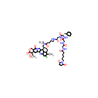 CC[C@@]1(O)C(=O)OCc2c1cc1n(c2=O)Cc2c-1nc1cc(F)c(C)c3c1c2C(/C=[N+](/C)C(=O)CCCCNC(=O)CNC(=O)[C@H](Cc1ccccc1)NC(=O)CNC(=O)CNC(=O)CCCCCN1C(=O)C=CC1=O)CC3